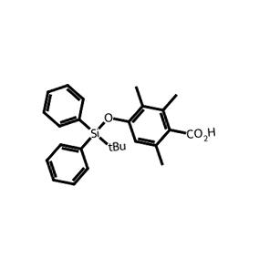 Cc1cc(O[Si](c2ccccc2)(c2ccccc2)C(C)(C)C)c(C)c(C)c1C(=O)O